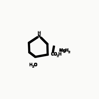 C1CCNCC1.CC(=O)O.O.[MgH2]